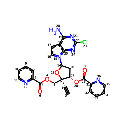 C#C[C@]1(COC(=O)c2ccccn2)O[C@@H](n2ccc3c(N)nc(Cl)nc32)C[C@@H]1OC(=O)c1ccccn1